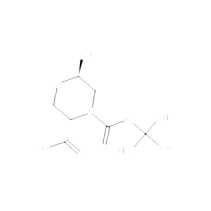 C[C@H]1CN(C(=O)OC(C)(C)C)[C@H](C(=O)O)CO1